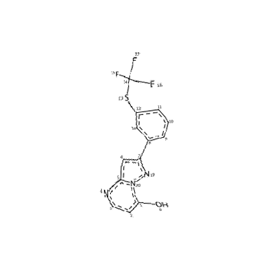 Oc1ccnc2cc(-c3cccc(SC(F)(F)F)c3)nn12